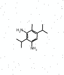 Cc1c(C(C)C)cc(N)c(C(C)C)c1N